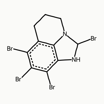 Brc1c(Br)c2c3c(c1Br)NC(Br)N3CCC2